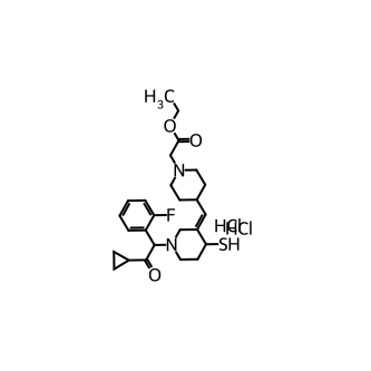 CCOC(=O)CN1CCC(C=C2CN(C(C(=O)C3CC3)c3ccccc3F)CCC2S)CC1.Cl.Cl